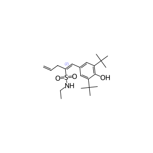 C=CC/C(=C/c1cc(C(C)(C)C)c(O)c(C(C)(C)C)c1)S(=O)(=O)NCC